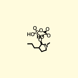 CCCC1CCN(C)C1=O.O=S(=O)(O)OS(=O)(=O)O